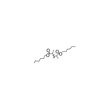 CCCCCCOC(=O)C(C)SC(C)C(=O)OCCCCCC